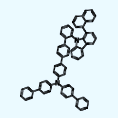 c1ccc(-c2ccc(N(c3ccc(-c4ccccc4)cc3)c3ccc(-c4ccc(-c5ccccc5-n5c6ccccc6c6cccc(-c7cccc8ccccc78)c65)cc4)cc3)cc2)cc1